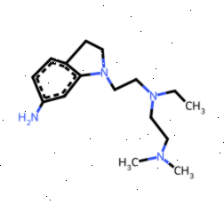 CCN(CCN(C)C)CCN1CCc2ccc(N)cc21